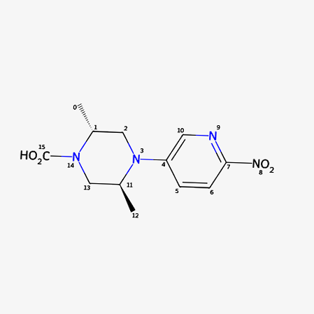 C[C@@H]1CN(c2ccc([N+](=O)[O-])nc2)[C@@H](C)CN1C(=O)O